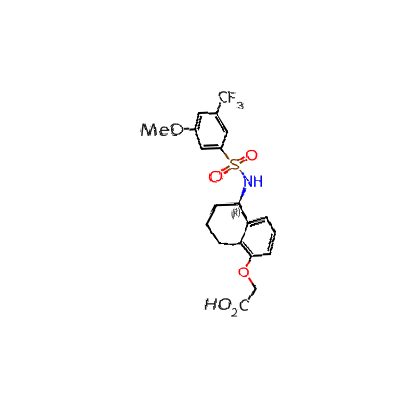 COc1cc(C(F)(F)F)cc(S(=O)(=O)N[C@@H]2CCCc3c(OCC(=O)O)cccc32)c1